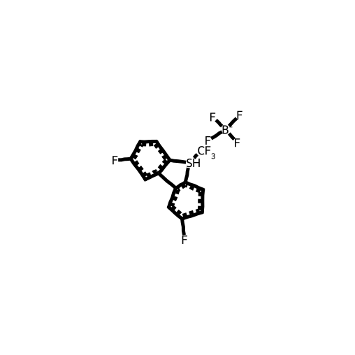 F[B-](F)(F)F.Fc1ccc2c(c1)-c1cc(F)ccc1[SH]2C(F)(F)F